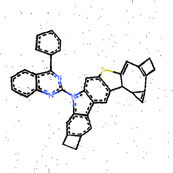 C1=C2C3=C(C=C4Sc5cc6c(cc5C4C12)c1cc2c(cc1n6-c1nc(-c4ccccc4)c4ccccc4n1)CC2)CC3